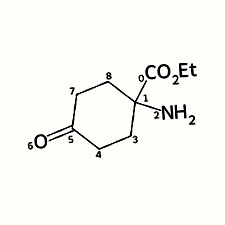 CCOC(=O)C1(N)CCC(=O)CC1